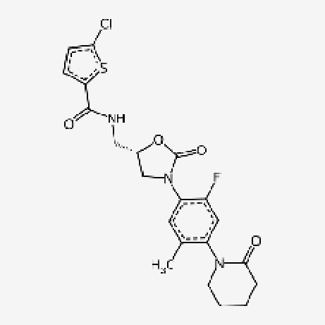 Cc1cc(N2C[C@H](CNC(=O)c3ccc(Cl)s3)OC2=O)c(F)cc1N1CCCCC1=O